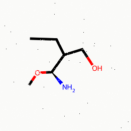 CCC(CO)[C@@H](N)OC